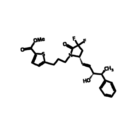 COC(=O)c1ccc(CCCN2C(=O)C(F)(F)C[C@@H]2C=C[C@@H](O)[C@@H](C)c2ccccc2)s1